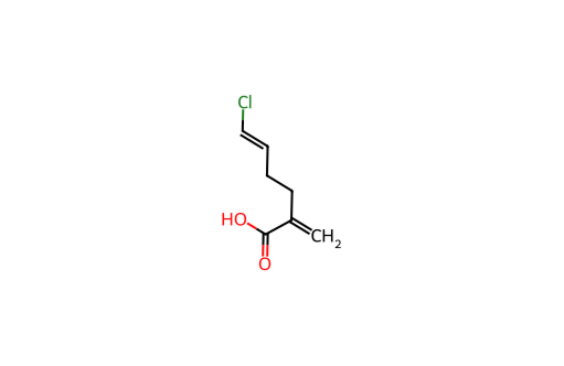 C=C(CCC=CCl)C(=O)O